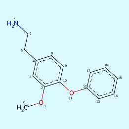 COc1cc(CCN)ccc1Oc1ccccc1